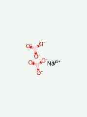 [Na+].[O-]B([O-])[O-].[O-]B([O-])[O-].[V+5]